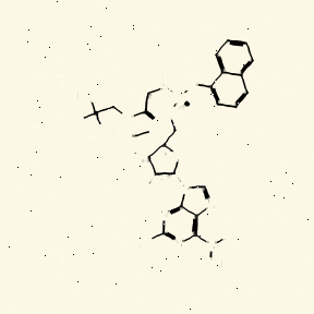 Cc1nc(N(C)C)c2ncn([C@@H]3O[C@](CCl)(CO[P@](=O)(N[C@@H](C)C(=O)OCC(C)(C)C)Oc4cccc5ccccc45)[C@@H](O)[C@@H]3F)c2n1